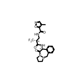 Cc1cnoc1C(=O)NC[C@H](C(=O)N[C@@H]1C(=O)N2CCCN2Cc2ccccc21)C(F)(F)F